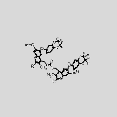 CCc1nc2cc(OC)c(Oc3ccc4c(c3)OC(F)(F)C(F)(F)O4)cc2c(COC(=O)OCc2c(C)c(CC)nc3cc(OC)c(Oc4ccc5c(c4)OC(F)(F)C(F)(F)O5)cc23)c1C